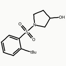 CC(C)(C)c1ccccc1S(=O)(=O)N1CCC(O)C1